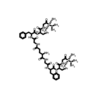 BB=S(=BB)(B(B)B)C(=O)CNC(=O)C(CC(C)C)NC(=O)C(Cc1ccccc1)NC(=O)CNC(=O)CCC(N)C(=O)NCC(=O)NC(Cc1ccccc1)C(=O)NC(CC(C)C)C(=O)NCC(=O)S(=BB)(=BB)B(B)B